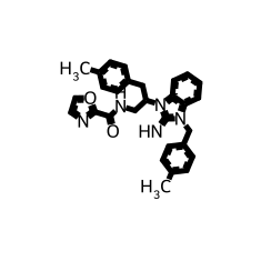 Cc1ccc(CC(CNC(=O)c2ncco2)n2c(=N)n(Cc3ccc(C)cc3)c3ccccc32)cc1